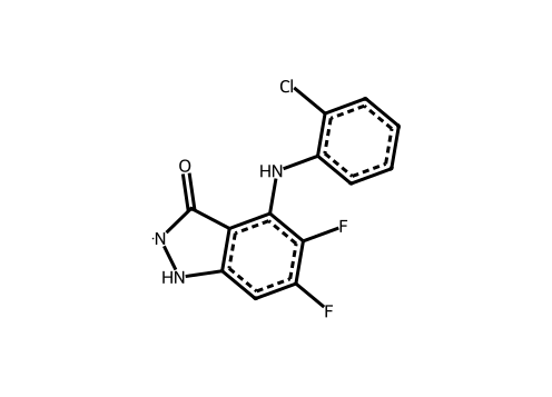 O=C1[N]Nc2cc(F)c(F)c(Nc3ccccc3Cl)c21